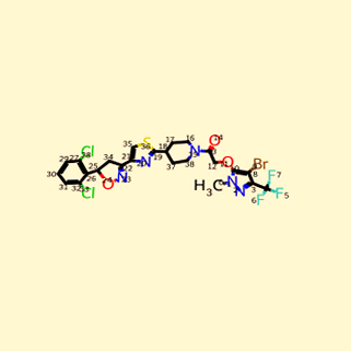 Cn1nc(C(F)(F)F)c(Br)c1OCC(=O)N1CCC(c2nc(C3=NOC(c4c(Cl)cccc4Cl)C3)cs2)CC1